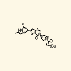 Cc1cn2cc(-c3cc4ncn([C@@H]5CCN(C(=O)OC(C)(C)C)[C@@H](C)C5)c(=O)c4s3)cc(F)c2n1